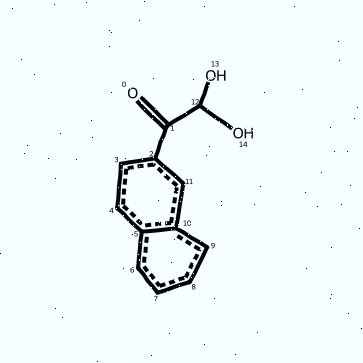 O=C(c1ccc2ccccc2c1)C(O)O